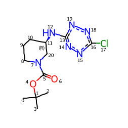 CC(C)(C)OC(=O)N1CCC[C@@H](Nc2nnc(Cl)nn2)C1